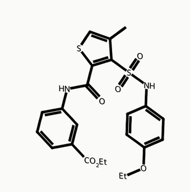 CCOC(=O)c1cccc(NC(=O)c2scc(C)c2S(=O)(=O)Nc2ccc(OCC)cc2)c1